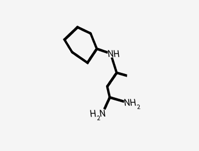 CC(CC(N)N)NC1CCCCC1